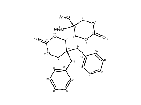 COC1(OC)COC(=O)OC1.O=C1OCC(Cc2ccccc2)(Cc2ccccc2)CO1